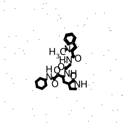 Cn1c(C(=O)NCC(=O)NC(CC2CCNC2=O)C(=O)C(=O)NC2CCCCC2)cc2ccccc21